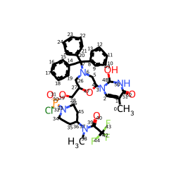 CC1=CN(C2CN(C(c3ccccc3)(c3ccccc3)c3ccccc3)CC(COP(=O)(Cl)N3CCC(N(C)C(=O)C(F)(F)F)CC3)O2)C(O)NC1=O